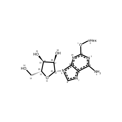 CCCCCCOc1nc(N)c2ncn([C@@H]3O[C@H](CO)[C@@H](O)[C@H]3O)c2n1